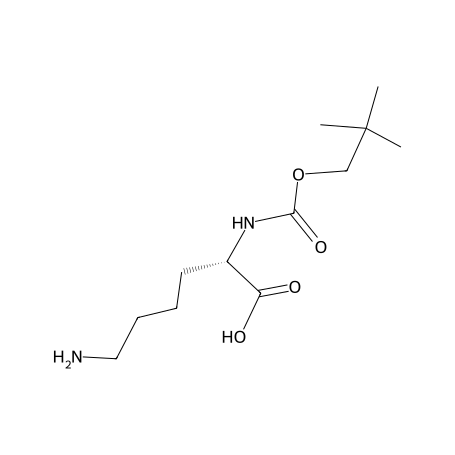 CC(C)(C)COC(=O)N[C@@H](CCCCN)C(=O)O